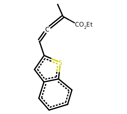 CCOC(=O)C(C)=C=Cc1cc2ccccc2s1